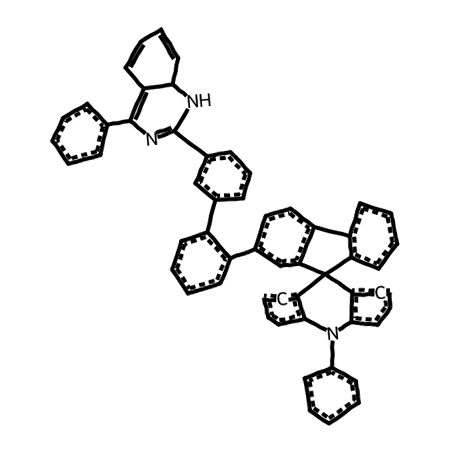 C1=CC2=C(c3ccccc3)N=C(c3cccc(-c4ccccc4-c4ccc5c(c4)C4(c6ccccc6-5)c5ccccc5N(c5ccccc5)c5ccccc54)c3)NC2C=C1